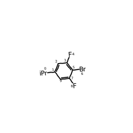 CC(C)c1cc(F)c(Br)c(F)c1